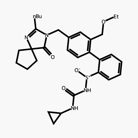 CCCCC1=NC2(CCCC2)C(=O)N1Cc1ccc(-c2ccccc2[S+]([O-])NC(=O)NC2CC2)c(COCC)c1